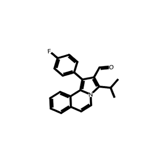 CC(C)c1c(C=O)c(-c2ccc(F)cc2)c2c3ccccc3ccn12